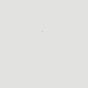 CCc1ccc(CCCOc2ccccc2)cc1C(C)=O